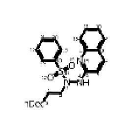 CCCCCCCCCCCCN(Nc1ccc2ccccc2n1)S(=O)(=O)c1ccccc1